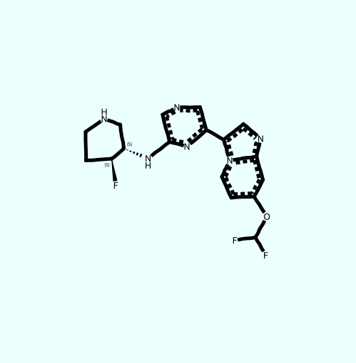 FC(F)Oc1ccn2c(-c3cncc(N[C@H]4CNCC[C@@H]4F)n3)cnc2c1